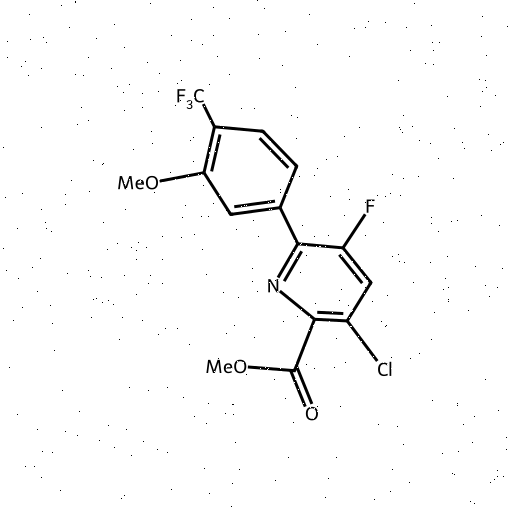 COC(=O)c1nc(-c2ccc(C(F)(F)F)c(OC)c2)c(F)cc1Cl